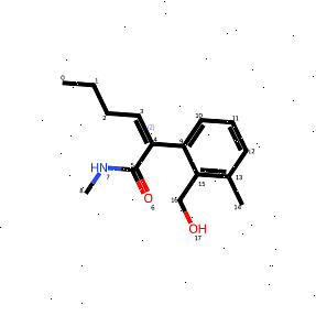 CCC/C=C(\C(=O)NC)c1cccc(C)c1CO